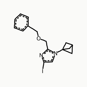 Ic1cn(C23CC(C2)C3)c(COCc2ccccc2)n1